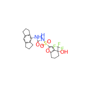 O=C(Nc1c2c(cc3c1CCC3)CCC2)NS(=O)(=O)c1cc2c(o1)CCCC2(O)C(F)(F)F